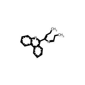 CC/C=N\C(=C/CC)c1nc2ccccc2c2ccccc12